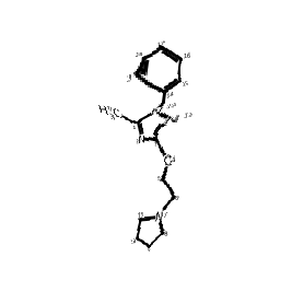 Cc1nc(OCCN2CCCC2)nn1-c1ccccc1